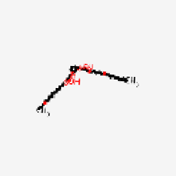 CCCCCCCCCCCCCCCCOCC(O)COc1cccc(OCC(O)COCCCCCCCCCCCCCCCC)c1